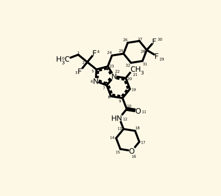 CCC(F)(F)c1nc2cc(C(=O)NC3CCOCC3)cc(C)n2c1CC1CCC(F)(F)CC1